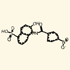 O=C(Nc1c(O)ccc2c(S(=O)(=O)O)cccc12)c1ccc([N+](=O)[O-])cc1